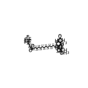 C[C@]12CCC(=O)C[C@@H]1C[C@@H](CCCCCCCCCCCCCS(=O)(=O)CCCC(F)(F)C(F)(F)F)[C@@H]1[C@@H]2CC[C@]2(C)[C@@H](O)CC[C@@H]12